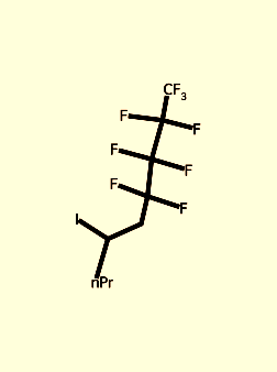 CCCC(I)CC(F)(F)C(F)(F)C(F)(F)C(F)(F)F